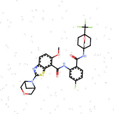 COc1ccc2nc(N3C4COCC3C4)sc2c1C(=O)Nc1cc(F)ccc1C(=O)NC12CCC(C(F)(F)F)(CC1)OC2